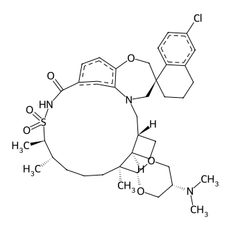 C[C@@H]1[C@@H](C)CCC[C@](C)([C@H]2OC[C@@H](N(C)C)CO2)[C@@H]2CC[C@H]2CN2C[C@@]3(CCCc4cc(Cl)ccc43)COc3ccc(cc32)C(=O)NS1(=O)=O